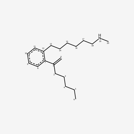 C=C(CCCCC)c1ccccc1CCCCCCNC